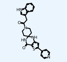 O=C1NC2(CCN(C(=O)Cc3c[nH]c4ccccc34)CC2)Nc2cc(-c3ccncc3)sc21